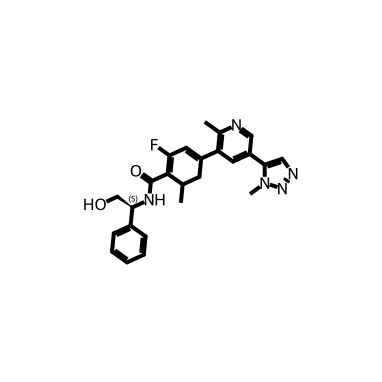 Cc1ncc(-c2cnnn2C)cc1C1=CC(F)=C(C(=O)N[C@H](CO)c2ccccc2)C(C)C1